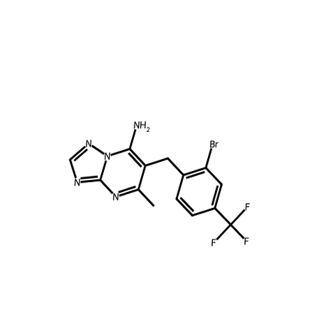 Cc1nc2ncnn2c(N)c1Cc1ccc(C(F)(F)F)cc1Br